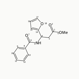 COC(=O)CC(NC(=O)c1ccccc1)c1ccco1